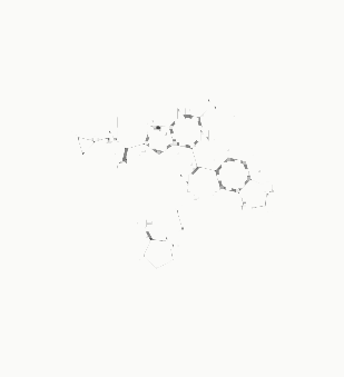 Nc1nc(C(=NOCCN2CCCC2=O)c2ccc3c(c2)OCO3)c2cc(C(=O)NC3CC3)sc2n1